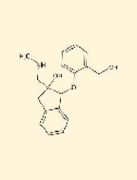 CNCC1(O)Cc2ccccc2C1Oc1ccccc1CO